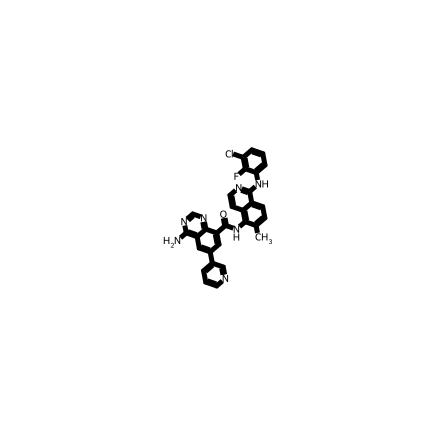 Cc1ccc2c(Nc3cccc(Cl)c3F)nccc2c1NC(=O)c1cc(-c2cccnc2)cc2c(N)ncnc12